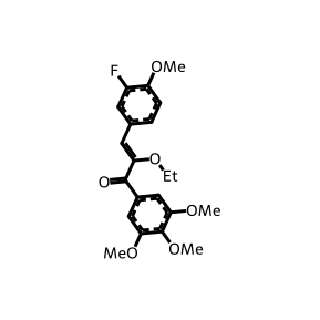 CCO/C(=C\c1ccc(OC)c(F)c1)C(=O)c1cc(OC)c(OC)c(OC)c1